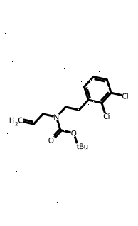 C=CCN(CCc1cccc(Cl)c1Cl)C(=O)OC(C)(C)C